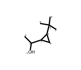 CC(O)C1CC1C(C)(C)C